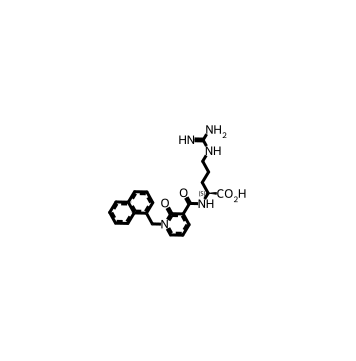 N=C(N)NCCC[C@H](NC(=O)c1cccn(Cc2cccc3ccccc23)c1=O)C(=O)O